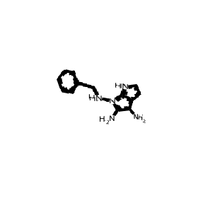 Nc1c(N)n(NCc2ccccc2)c2[nH]ccc12